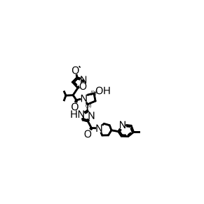 COc1cc(C(C(=O)N2C[C@H](O)C[C@H]2c2nc(C(=O)N3CCC(c4ccc(C)cn4)CC3)c[nH]2)C(C)C)on1